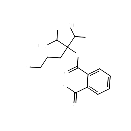 CCCCC(OC(=O)c1ccccc1C(=O)O)(C(C)C)C(C)C